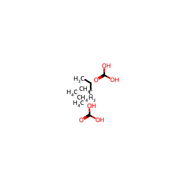 C.C.C.C.CCC.O=C(O)O.O=C(O)O